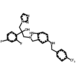 OC(CN1Cc2cc(NCc3ccc(C(F)(F)F)cc3)ccc2N1)(Cn1ccnn1)c1ccc(F)cc1F